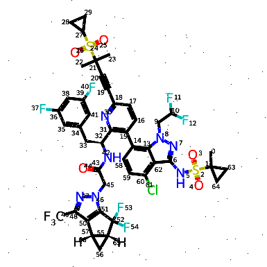 CC1(S(=O)(=O)Nc2nn(CC(F)F)c3c(-c4ccc(C#CC(C)(C)S(=O)(=O)C5CC5)nc4[C@H](Cc4cc(F)cc(F)c4)NC(=O)Cn4nc(C(F)(F)F)c5c4C(F)(F)[C@@H]4C[C@H]54)ccc(Cl)c23)CC1